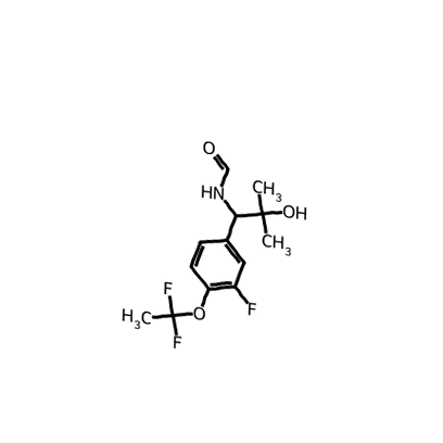 CC(F)(F)Oc1ccc(C(NC=O)C(C)(C)O)cc1F